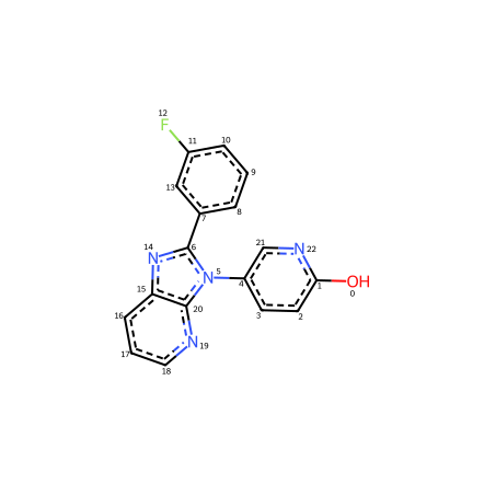 Oc1ccc(-n2c(-c3cccc(F)c3)nc3cccnc32)cn1